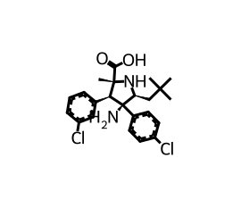 CC(C)(C)C[C@@H]1N[C@@](C)(C(=O)O)[C@H](c2cccc(Cl)c2)[C@@]1(N)c1ccc(Cl)cc1